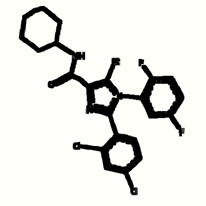 CCc1c(C(=O)NC2CCCCC2)nc(-c2ccc(Cl)cc2Cl)n1-c1cc(F)ccc1F